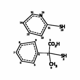 CC(S)(C(=O)O)c1ccccc1.Sc1ccccn1